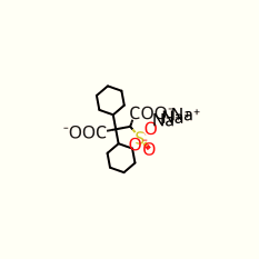 O=C([O-])C(C(C(=O)[O-])(C1CCCCC1)C1CCCCC1)S(=O)(=O)[O-].[Na+].[Na+].[Na+]